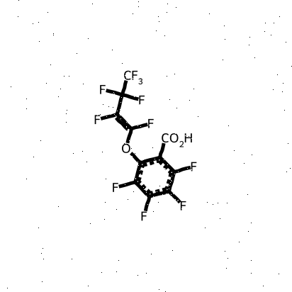 O=C(O)c1c(F)c(F)c(F)c(F)c1OC(F)=C(F)C(F)(F)C(F)(F)F